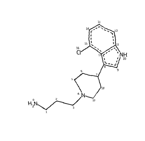 NCCCN1CCC(c2c[nH]c3cccc(Cl)c23)CC1